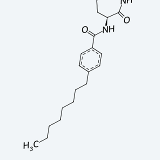 CCCCCCCCc1ccc(C(=O)N[C@H]2CCCCNC2=O)cc1